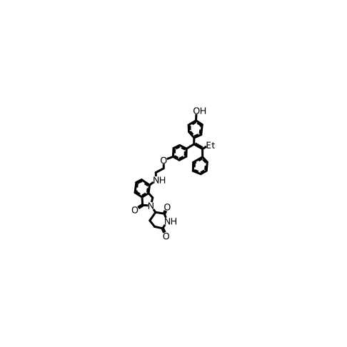 CCC(=C(c1ccc(O)cc1)c1ccc(OCCNc2cccc3c2CN(C2CCC(=O)NC2=O)C3=O)cc1)c1ccccc1